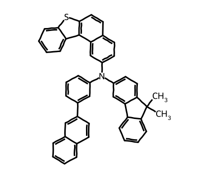 CC1(C)c2ccccc2-c2cc(N(c3cccc(-c4ccc5ccccc5c4)c3)c3ccc4ccc5sc6ccccc6c5c4c3)ccc21